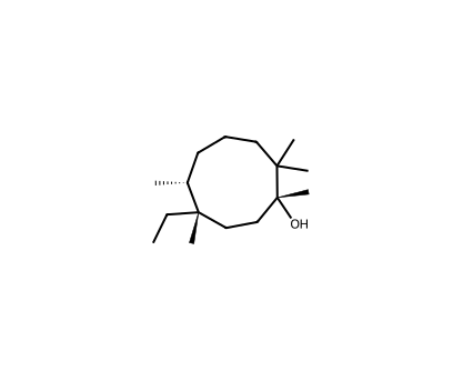 CC[C@@]1(C)CC[C@@](C)(O)C(C)(C)CCC[C@H]1C